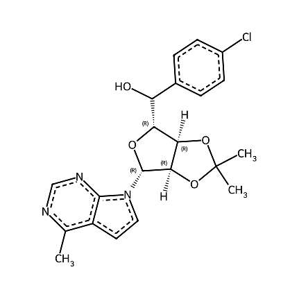 Cc1ncnc2c1ccn2[C@@H]1O[C@H](C(O)c2ccc(Cl)cc2)[C@H]2OC(C)(C)O[C@H]21